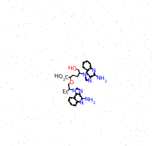 CCC(COC(CCC(CO)n1cnc2c(N)nc3ccccc3c21)C(=O)O)n1cnc2c(N)nc3ccccc3c21